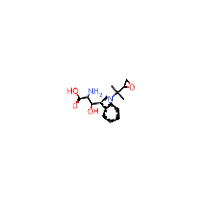 CC(C)(C1CO1)n1cc(C(O)C(N)C(=O)O)c2ccccc21